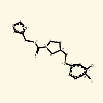 O=C(OCc1cscn1)N1CCC(COc2ccc(Cl)c(Cl)c2)C1